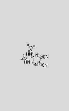 N#Cc1nc(NC2CC2)c(NC2CC2)nc1C#N